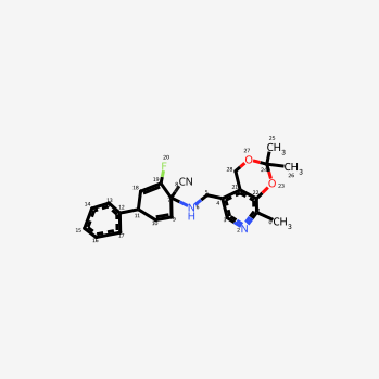 Cc1ncc(CNC2(C#N)C=CC(c3ccccc3)C=C2F)c2c1OC(C)(C)OC2